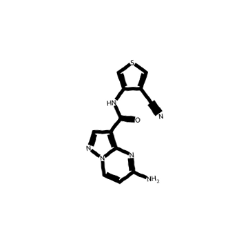 N#Cc1cscc1NC(=O)c1cnn2ccc(N)nc12